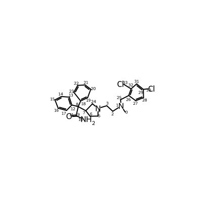 CN(CCN1CCC(C(C(N)=O)(c2ccccc2)c2ccccc2)C1)Cc1ccc(Cl)cc1Cl